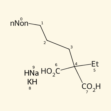 CCCCCCCCCCCCC(CC)(C(=O)O)C(=O)O.[KH].[NaH]